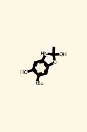 CC1(O)Nc2cc(O)c(C(C)(C)C)cc2O1